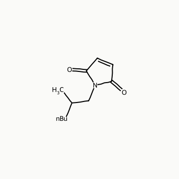 CCCCC(C)CN1C(=O)C=CC1=O